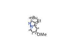 CCCCc1nn2ccc(OC)cc2c1CC